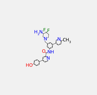 Cc1ccc(-c2cc(CN3CCC(F)(F)[C@H](N)C3)cc(NC(=O)c3cc(-c4ccc(O)cc4)ccn3)c2)cn1